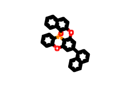 O=P12c3ccccc3Oc3cc(-c4cccc5ccccc45)cc(c31)Oc1ccc3ccccc3c12